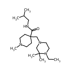 CCN1CCN(CC2(C(=O)NCC(C)C)CCN(C)CC2)CC1(C)C